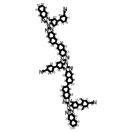 Cc1cc(C#N)cc(C)c1-c1cc2c3c(c1)n1c4cc5cc(-c6ccc7cc8nc9n(c8cc7c6)c6cc(-c7ccc(C#N)cc7)cc7c6n9c6nc8cc9ccc(-c%10ccc%11cc%12nc%13n(c%12cc%11c%10)c%10cc(-c%11cccc(C#N)c%11)cc%11c%10n%13c%10nc%12cc%13ccccc%13cc%12n%11%10)cc9cc8n76)ccc5cc4nc1n3c1nc3cc4ccccc4cc3n21